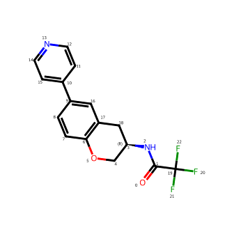 O=C(N[C@H]1COc2ccc(-c3ccncc3)cc2C1)C(F)(F)F